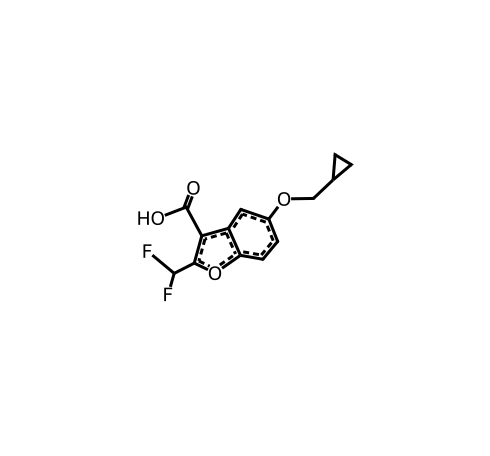 O=C(O)c1c(C(F)F)oc2ccc(OCC3CC3)cc12